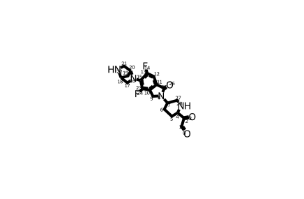 O=CC(=O)C1CCC(N2Cc3c(cc(F)c(N4CC5CC4CN5)c3F)C2=O)CN1